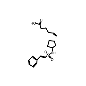 O=C(O)CCC/C=C\[C@H]1CC[C@H](NS(=O)(=O)C=Cc2ccccc2)C1